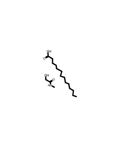 CCCCCCCCCCCCCC(=O)O.CNC(=O)CO